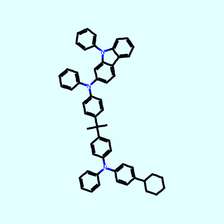 CC(C)(c1ccc(N(c2ccccc2)c2ccc(C3CCCCC3)cc2)cc1)c1ccc(N(c2ccccc2)c2ccc3c4ccccc4n(-c4ccccc4)c3c2)cc1